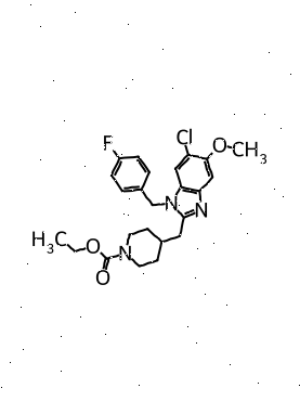 CCOC(=O)N1CCC(Cc2nc3cc(OC)c(Cl)cc3n2Cc2ccc(F)cc2)CC1